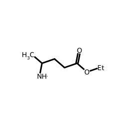 CCOC(=O)CCC(C)[NH]